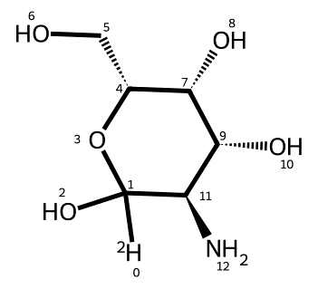 [2H]C1(O)O[C@H](CO)[C@H](O)[C@H](O)[C@H]1N